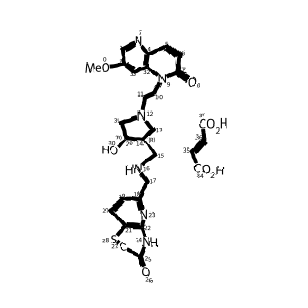 COc1cnc2ccc(=O)n(CCN3C[C@@H](CNCc4ccc5c(n4)NC(=O)CS5)[C@@H](O)C3)c2c1.O=C(O)C=CC(=O)O